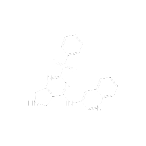 O=S(=O)(c1ccccc1)c1nc2c(c(Nc3cnc4ccccc4c3)n1)CNC2